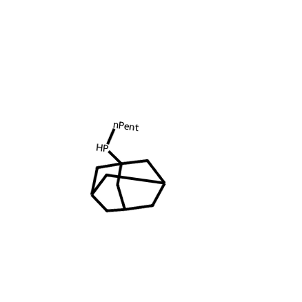 CCCCCPC12CC3CC(CC(C3)C1)C2